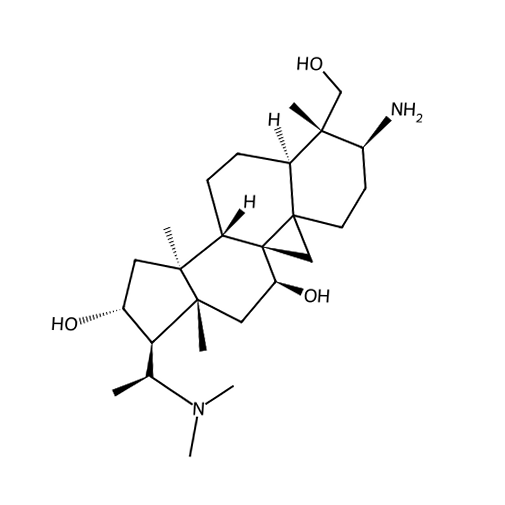 C[C@@H]([C@H]1[C@H](O)C[C@@]2(C)[C@@H]3CC[C@@H]4C5(CC[C@H](N)[C@@]4(C)CO)C[C@@]35[C@@H](O)C[C@]12C)N(C)C